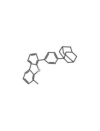 Cc1cccc2c1oc1c(-c3ccc(C45CC6CC(CC(C6)C4)C5)cc3)cccc12